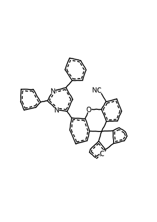 N#Cc1cccc2c1Oc1c(-c3cc(-c4ccccc4)nc(-c4ccccc4)n3)cccc1C21c2ccccc2-c2ccccc21